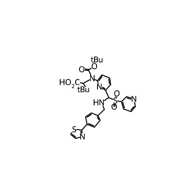 CC(C)(C)OC(=O)N(c1cccc(C(NCc2ccc(-c3nccs3)cc2)S(=O)(=O)c2cccnc2)n1)C(C(=O)O)C(C)(C)C